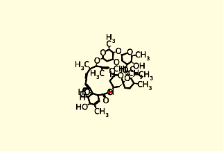 CO[C@H]1C[C@H](O[C@H]2[C@H](C)O[C@@H](O[C@@H]3/C(C)=C/C[C@@H]4C[C@@H](C[C@]5(CC[C@H](C)[C@@H](C(C)C)O5)O4)OC(=O)C4C=C(C)[C@@H](O)[C@H]5OC/C(=C\C=C\[C@@H]3C)[C@@]45O)C[C@@H]2OC)O[C@@H](C)[C@@H]1O